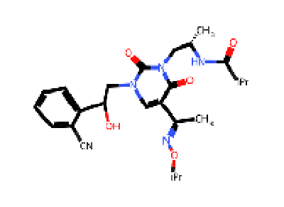 C/C(=N\OC(C)C)c1cn(CC(O)c2ccccc2C#N)c(=O)n(C[C@H](C)NC(=O)C(C)C)c1=O